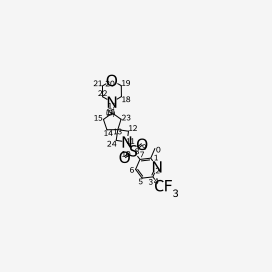 Cc1nc(C(F)(F)F)ccc1S(=O)(=O)N1CC2(CC[C@H](N3CCOCC3)C2)C1